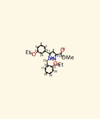 CCOc1cccc(-c2cc(C(=O)OC)nn2Cc2ccccc2OCC)c1